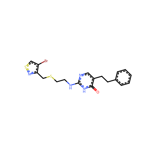 O=c1[nH]c(NCCSCc2nscc2Br)ncc1CCc1ccccc1